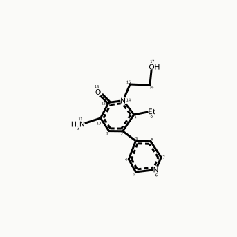 CCc1c(-c2ccncc2)cc(N)c(=O)n1CCO